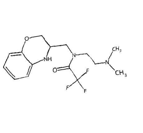 CN(C)CCN(CC1COc2ccccc2N1)C(=O)C(F)(F)F